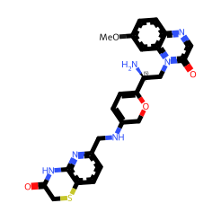 COc1ccc2ncc(=O)n(C[C@H](N)C3=CC=C(NCc4ccc5c(n4)NC(=O)CS5)CO3)c2c1